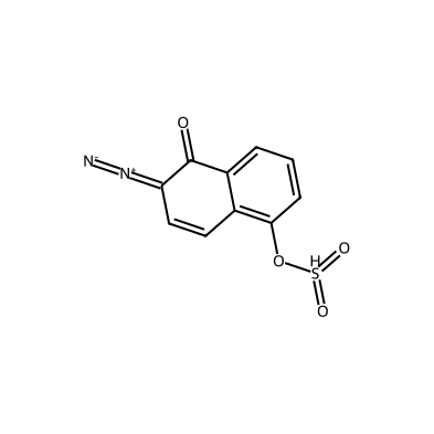 [N-]=[N+]=C1C=Cc2c(O[SH](=O)=O)cccc2C1=O